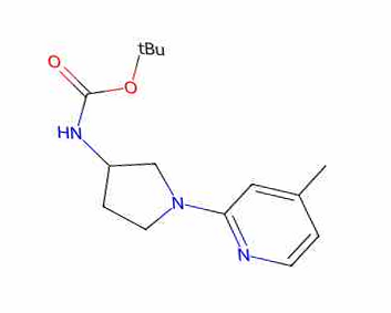 Cc1ccnc(N2CCC(NC(=O)OC(C)(C)C)C2)c1